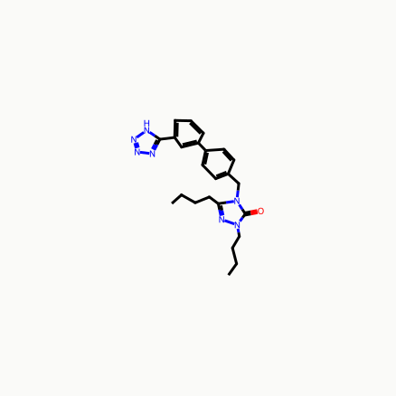 CCCCc1nn(CCCC)c(=O)n1Cc1ccc(-c2cccc(-c3nnn[nH]3)c2)cc1